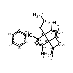 CCCC(C(=O)O)(C(=O)O)C1(C(N)=O)C(=O)OC1=O.c1ccccc1